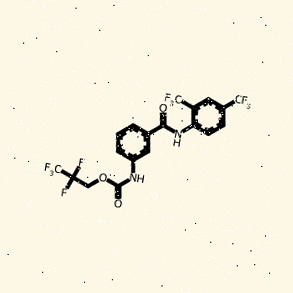 O=C(Nc1cccc(C(=O)Nc2ccc(C(F)(F)F)cc2C(F)(F)F)c1)OCC(F)(F)C(F)(F)F